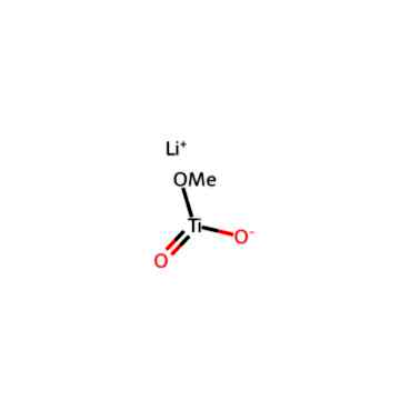 C[O][Ti](=[O])[O-].[Li+]